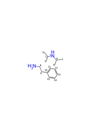 CC(C)NC(C)C.NCCc1ccccc1